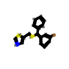 Brc1cccc(C(SCc2cncs2)c2ccccc2)c1